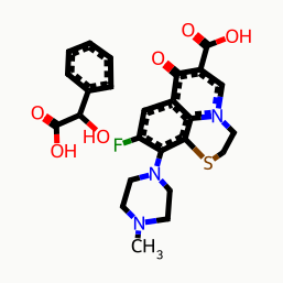 CN1CCN(c2c(F)cc3c(=O)c(C(=O)O)cn4c3c2SCC4)CC1.O=C(O)C(O)c1ccccc1